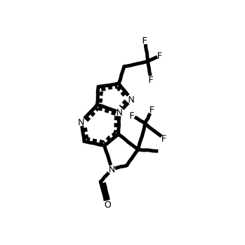 CC1(C(F)(F)F)CN(C=O)c2cnc3cc(CC(F)(F)F)nn3c21